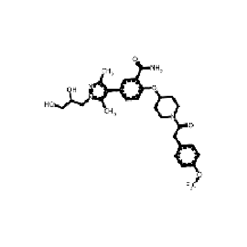 Cc1nn(C[C@H](O)CO)c(C)c1-c1ccc(OC2CCN(C(=O)Cc3ccc(OC(F)(F)F)cc3)CC2)c(C(N)=O)c1